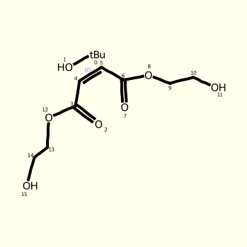 CC(C)(C)O.O=C(/C=C\C(=O)OCCO)OCCO